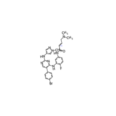 CN(C)C/C=C/C(=O)Nc1ccc(F)c(Nc2nc(Nc3cnn(C)c3)ncc2-c2ccc(Br)cc2)c1